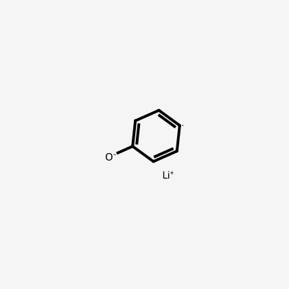 [Li+].[O-]c1cc[c]cc1